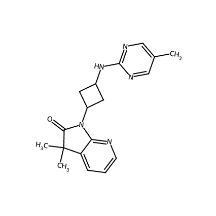 Cc1cnc(NC2CC(N3C(=O)C(C)(C)c4cccnc43)C2)nc1